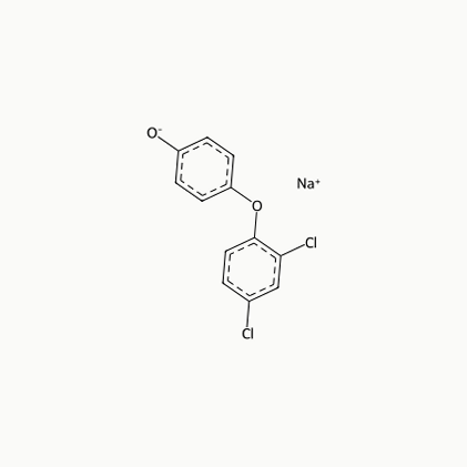 [Na+].[O-]c1ccc(Oc2ccc(Cl)cc2Cl)cc1